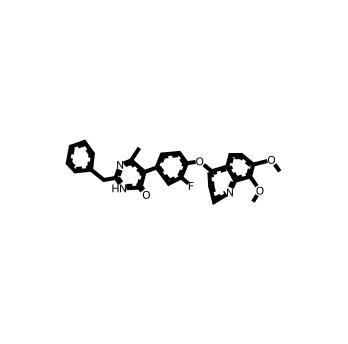 COc1ccc2c(Oc3ccc(-c4c(C)nc(Cc5ccccc5)[nH]c4=O)cc3F)ccnc2c1OC